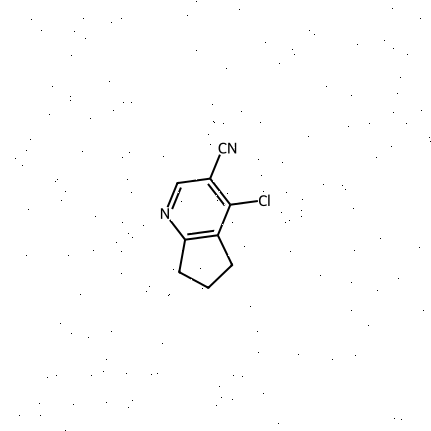 N#Cc1cnc2c(c1Cl)CCC2